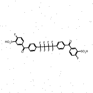 O=C(c1ccc(C(F)(F)C(F)(F)C(F)(F)C(F)(F)c2ccc(C(=O)c3ccc(F)c(S(=O)(=O)O)c3)cc2)cc1)c1ccc(F)c(S(=O)(=O)O)c1